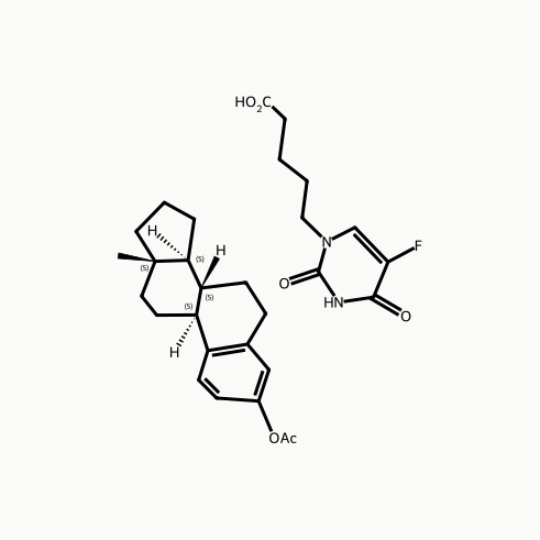 CC(=O)Oc1ccc2c(c1)CC[C@@H]1[C@@H]2CC[C@]2(C)CCC[C@@H]12.O=C(O)CCCCn1cc(F)c(=O)[nH]c1=O